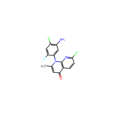 Cc1cc(=O)c2ccc(Cl)nc2n1-c1cc(N)c(Cl)cc1F